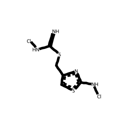 N=C(NCl)SCc1csc(NCl)n1